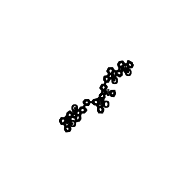 O=c1c2ccccc2c2cc(-c3cccc(-c4ccc5c(c4)c(=O)n4c6ccc7c8cccc9c%10ccccc%10c(=O)n(c98)c7c6c6cccc5c64)c3)cc3c4cc5c6ccc(-c7ccc8c(c7)c(=O)n7c9ccc%10c(c%11cccc%12c%13ccccc%13c(=O)n%10c%12%11)c9c9cccc8c97)cc6n(-c6ccccc6)c5cc4n1c23